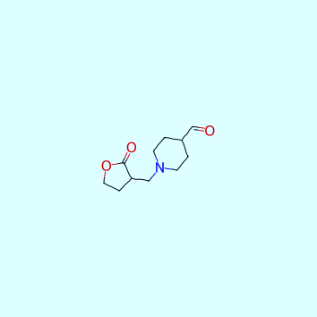 O=CC1CCN(CC2CCOC2=O)CC1